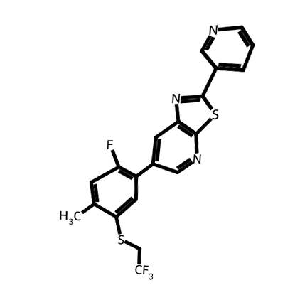 Cc1cc(F)c(-c2cnc3sc(-c4cccnc4)nc3c2)cc1SCC(F)(F)F